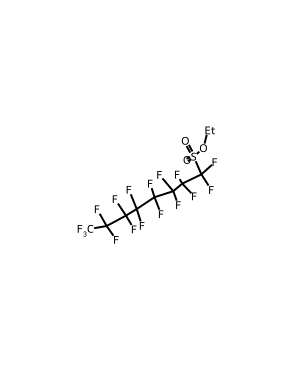 CCOS(=O)(=O)C(F)(F)C(F)(F)C(F)(F)C(F)(F)C(F)(F)C(F)(F)C(F)(F)C(F)(F)F